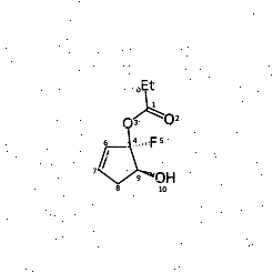 CCC(=O)O[C@]1(F)C=CC[C@@H]1O